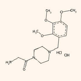 COc1ccc(CN2CCN(C(=O)CN)CC2)c(OC)c1OC.Cl.Cl